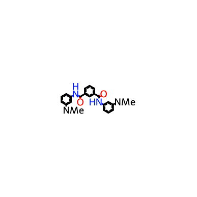 CNc1cccc(NC(=O)c2cccc(C(=O)Nc3cccc(NC)c3)c2)c1